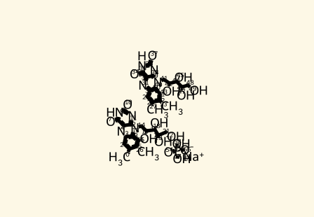 Cc1cc2nc3c(=O)[nH]c(=O)nc-3n(C[C@H](O)[C@H](O)[C@H](O)CO)c2cc1C.Cc1cc2nc3c(=O)[nH]c(=O)nc-3n(C[C@H](O)[C@H](O)[C@H](O)CO)c2cc1C.O=P([O-])(O)O.[Na+]